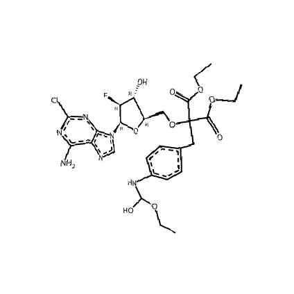 CCOC(=O)C(Cc1ccc(NC(O)OCC)cc1)(OC[C@H]1O[C@@H](n2cnc3c(N)nc(Cl)nc32)[C@@H](F)[C@@H]1O)C(=O)OCC